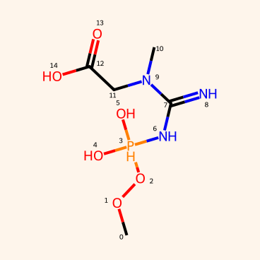 COO[PH](O)(O)NC(=N)N(C)CC(=O)O